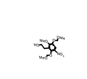 COCOc1cc([N+](=O)[O-])c(OCOC)c(CCO)c1OC